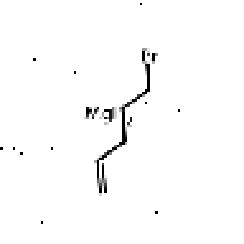 C=CCCCBr.[MgH2]